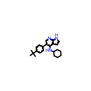 CC(C)(C)c1ccc(-c2cnc3[nH]ccc3c2NC2CCCCC2)cc1